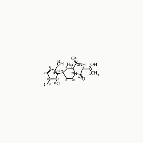 C[C@H](O)[C@H]1NC(=O)[C@@H]2C[C@H](c3c(O)ccc(Cl)c3Cl)CCN2C1=O